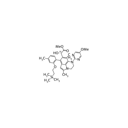 COC(=O)[C@@H](O)c1c(C)c2c3c(cc(C)n3CCN2c2ncc(OC)cn2)c1-c1ccc(C)cc1OCC[Si](C)(C)C